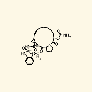 COc1ccccc1NS(=O)(=O)NC(=O)C12CC1/C=C\CCCCCC(OC(N)=O)C(=O)N1CCCC1C(=O)N2